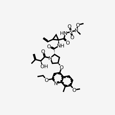 C=CC1C[C@]1(NC(=O)[C@@H]1C[C@@H](Oc2cc(OCC)nc3c(C)c(OC)ccc23)CN1C(=O)[C@@H](O)C(=C)C)C(=O)NS(=O)(=O)N(C)OC